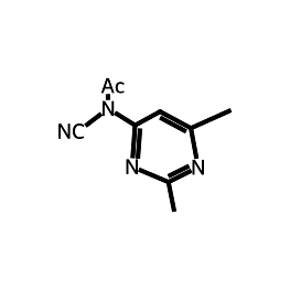 CC(=O)N(C#N)c1cc(C)nc(C)n1